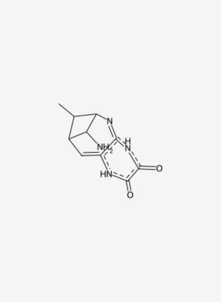 CC1C2C=c3[nH]c(=O)c(=O)[nH]c3=NC1C2N